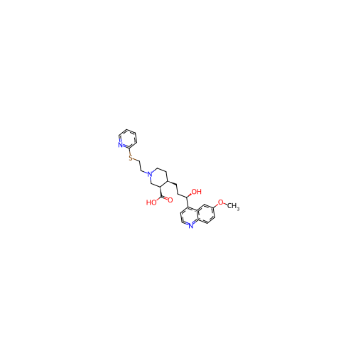 COc1ccc2nccc([C@H](O)CC[C@@H]3CCN(CCSc4ccccn4)C[C@@H]3C(=O)O)c2c1